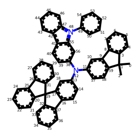 CC1(C)c2ccccc2-c2cc(N(c3ccc4c(c3)C3(c5ccccc5-c5ccccc53)c3ccccc3-4)c3ccc4c5ccccc5n(-c5ccccc5)c4c3)ccc21